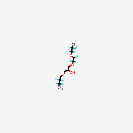 OC(COCC(F)(F)C(F)(F)C(F)(F)F)COC(F)(F)C(F)OC(F)(F)C(F)(F)C(F)(F)F